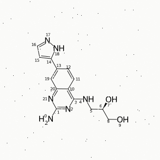 Nc1nc(NC[C@@H](O)CO)c2ccc(-c3ccn[nH]3)cc2n1